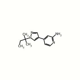 CCC(C)(C)n1cc(-c2ccnc(N)c2)cn1